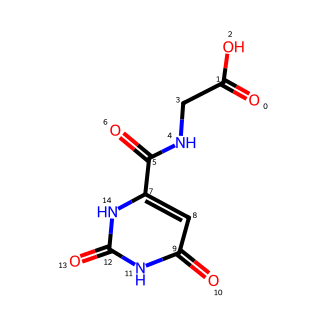 O=C(O)CNC(=O)c1cc(=O)[nH]c(=O)[nH]1